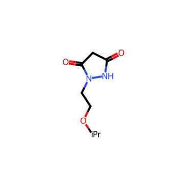 CC(C)OCCN1NC(=O)CC1=O